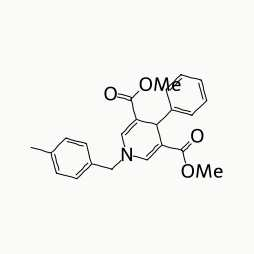 COC(=O)C1=CN(Cc2ccc(C)cc2)C=C(C(=O)OC)C1c1ccccc1